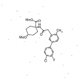 COC(=O)[C@]1(NC(=O)Cc2cc(-c3ccc(Cl)c(F)c3)ccc2C)CC[C@@H](OC)CC1